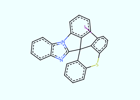 Ic1cccc2c1C1(c3ccccc3S2)c2ccccc2-n2c1nc1ccccc12